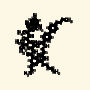 CCCCc1ccc(-c2ccc(C(=O)NCCC(=O)N[C@@H](CCCCN)C(=O)N[C@@H](CCCCN)C(=O)N[C@@H](N)C(=O)N[C@@H](CC(C)C)C(=O)N[C@@H](C)B3OC4C[C@@H]5C[C@@H](C5(C)C)[C@]4(C)O3)cc2)cc1